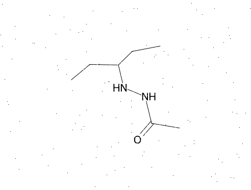 CCC(CC)NNC(C)=O